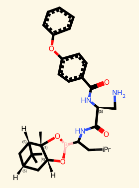 CC(C)CC(NC(=O)[C@H](CN)NC(=O)c1ccc(Oc2ccccc2)cc1)B1O[C@@H]2C[C@@H]3C[C@@H](C3(C)C)[C@]2(C)O1